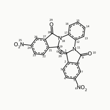 O=C1c2ccc([N+](=O)[O-])cc2C(=O)N1c1ccccc1N1C(=O)c2ccc([N+](=O)[O-])cc2C1=O